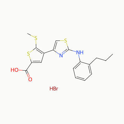 Br.CCCc1ccccc1Nc1nc(-c2cc(C(=O)O)sc2SC)cs1